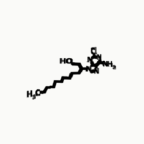 CCCCCCCCCCC(CCO)n1cnc2c(N)nc(Cl)nc21